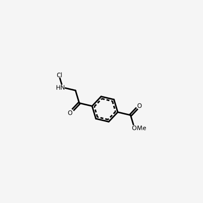 COC(=O)c1ccc(C(=O)CNCl)cc1